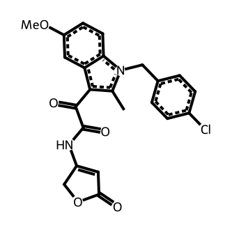 COc1ccc2c(c1)c(C(=O)C(=O)NC1=CC(=O)OC1)c(C)n2Cc1ccc(Cl)cc1